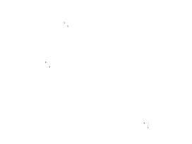 C=C1C=C(N2CCCCC2)C2=C(C=CC(C3(C)C=CC(C4CCN(C)CC4)=CC3)=CC2)N1CC